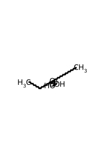 CCCCCCCCC=CCCCCCCCC(=O)OC(=O)CCCCCCC/C=C\CCCCCCCC.OCCO